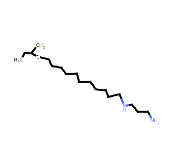 CCC(C)CCCCCCCCCCCCNCCCN